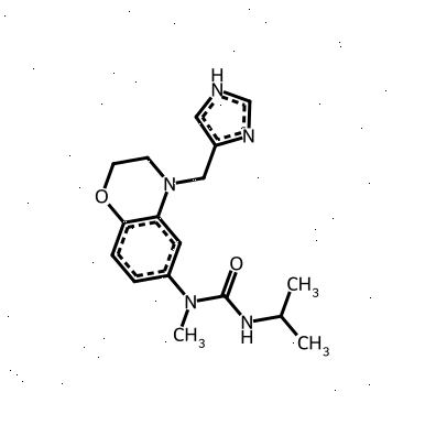 CC(C)NC(=O)N(C)c1ccc2c(c1)N(Cc1c[nH]cn1)CCO2